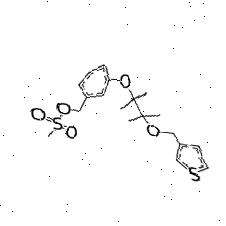 CC(C)(OCc1ccsc1)C(C)(C)Oc1cccc(COS(C)(=O)=O)c1